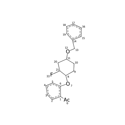 CC(=O)c1ccccc1OC1CCC(OCc2ccccc2)CC1F